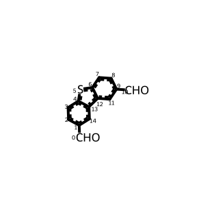 O=Cc1ccc2sc3ccc(C=O)cc3c2c1